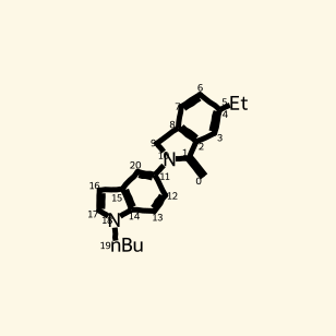 C=C1c2cc(CC)ccc2CN1c1ccc2c(ccn2CCCC)c1